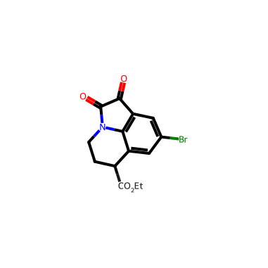 CCOC(=O)C1CCN2C(=O)C(=O)c3cc(Br)cc1c32